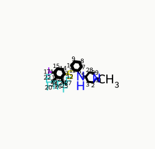 CN1CCC(Nc2ccccc2Sc2ccc(I)c(C(F)(F)F)c2C(F)(F)F)CC1